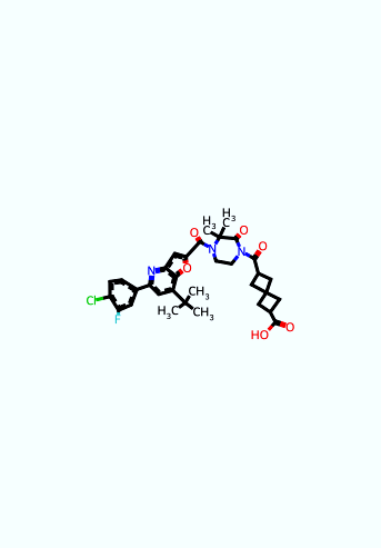 CC(C)(C)c1cc(-c2ccc(Cl)c(F)c2)nc2cc(C(=O)N3CCN(C(=O)C4CC5(CC(C(=O)O)C5)C4)C(=O)C3(C)C)oc12